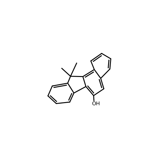 CC1(C)c2ccccc2-c2c(O)cc3ccccc3c21